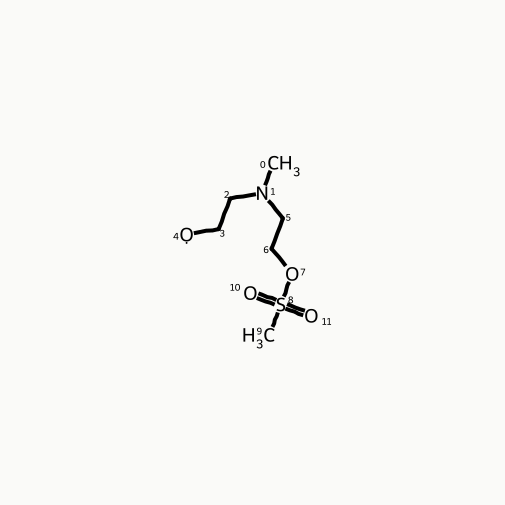 CN(CC[O])CCOS(C)(=O)=O